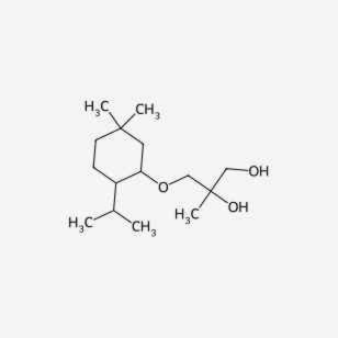 CC(C)C1CCC(C)(C)CC1OCC(C)(O)CO